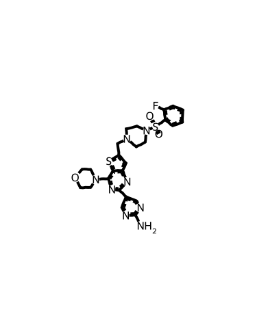 Nc1ncc(-c2nc(N3CCOCC3)c3sc(CN4CCN(S(=O)(=O)c5ccccc5F)CC4)cc3n2)cn1